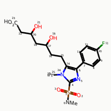 CNS(=O)(=O)c1nc(-c2ccc(F)cc2)c(CCC(O)CC(O)CC(=O)O)n1C(C)C